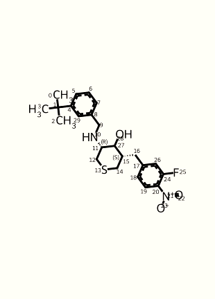 CC(C)(C)c1cccc(CN[C@H]2CSC[C@@H](Cc3ccc([N+](=O)[O-])c(F)c3)C2O)c1